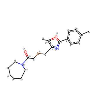 Cc1ccc(-c2nc(CSCC(=O)N3CCCCCC3)c(C)o2)cc1